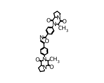 CC1C(=O)N2CCCC2C(=O)N1c1ccc(-c2cnc(-c3ccc(N4C(=O)C5CCCN5C(=O)C4C)cc3)o2)cc1